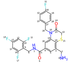 NCc1cc(C(=O)NCc2c(F)cc(F)cc2F)cc2c1SCC(=O)N2Cc1ccc(F)cc1